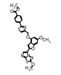 COC(=O)c1ccc(-c2nc(COc3cc(OC)cc4oc(-c5cnc6sc(OC)nn56)cc34)cs2)cc1